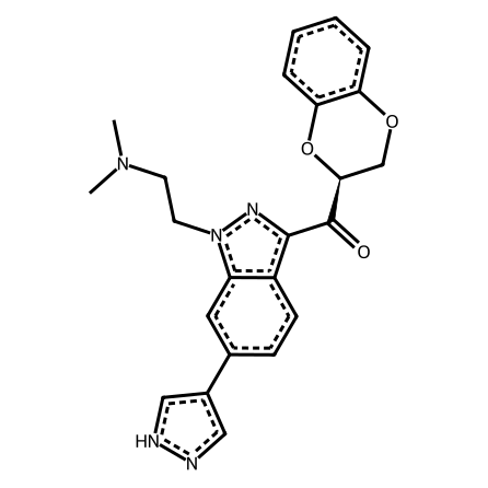 CN(C)CCn1nc(C(=O)[C@@H]2COc3ccccc3O2)c2ccc(-c3cn[nH]c3)cc21